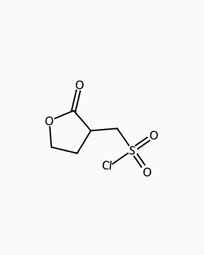 O=C1OCCC1CS(=O)(=O)Cl